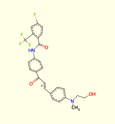 CN(CCO)c1ccc(/C=C/C(=O)c2ccc(NC(=O)c3ccc(F)cc3C(F)(F)F)cc2)cc1